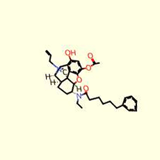 C=CCN1CC[C@]23c4c5c(O)cc(OC(C)=O)c4O[C@H]2[C@H](N(CC)C(=O)CCCCCc2ccccc2)CC[C@H]3[C@H]1C5